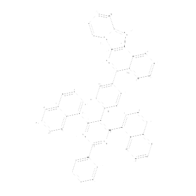 c1ccc(-c2nc(-c3cccc4ccccc34)c(-c3ccc(-c4nc5c(nc6ccccn65)c5ccccc45)cc3)c(-c3cccc4ccccc34)n2)cc1